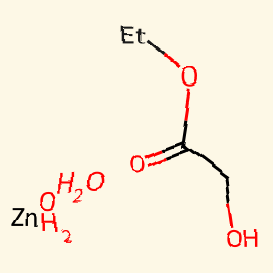 CCOC(=O)CO.O.O.[Zn]